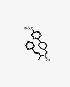 CCOC(=O)c1cnc(N2CCC(CN(C(C)=O)C(C)/C=C/c3ccccc3)CC2)nc1